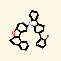 Brc1ccccc1-c1ccc2c3ccccc3n(-c3ccc4oc5ccc6ccccc6c5c4c3)c2c1